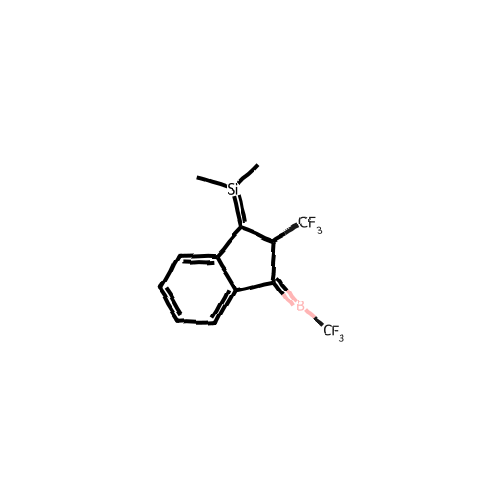 C[Si](C)=C1c2ccccc2C(=BC(F)(F)F)C1C(F)(F)F